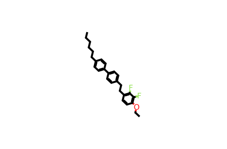 CCCCCCc1ccc(-c2ccc(CCc3ccc(OCC)c(F)c3F)cc2)cc1